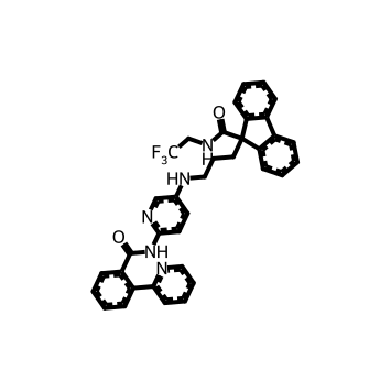 O=C(Nc1ccc(NCCCC2(C(=O)NCC(F)(F)F)c3ccccc3-c3ccccc32)cn1)c1ccccc1-c1ccccn1